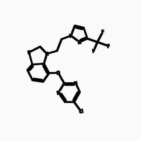 FC(F)(F)c1ccn(CCN2CSc3cccc(Oc4ncc(Cl)cn4)c32)n1